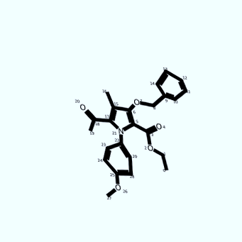 CCOC(=O)c1c(OCc2ccccc2)c(C)c(C(C)=O)n1-c1ccc(OC)cc1